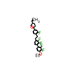 C=CC1CCC(c2ccc(CCc3ccc(-c4ccc(OCC)c(F)c4F)c(F)c3F)c(F)c2)OC1